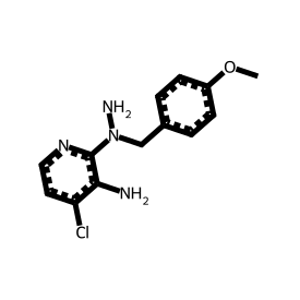 COc1ccc(CN(N)c2nccc(Cl)c2N)cc1